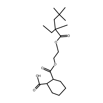 CCC(C)(CC(C)(C)C)C(=O)OCCOC(=O)C1CCCCC1C(=O)O